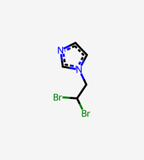 BrC(Br)Cn1ccnc1